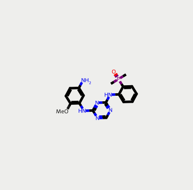 COc1ccc(N)cc1Nc1ncnc(Nc2ccccc2P(C)(C)=O)n1